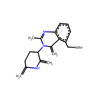 C=C1CCC(N2C(=C)c3c(CNC)cccc3N=C2C)C(=C)N1